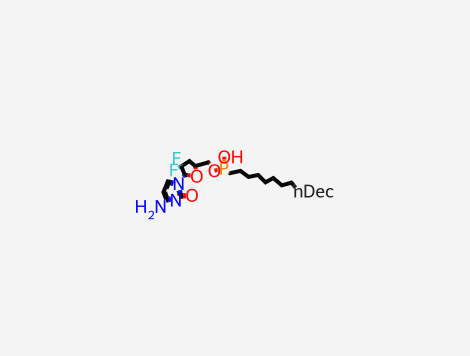 CCCCCCCCCCCCCCCCCCP(O)OCC1CC(F)(F)C(n2ccc(N)nc2=O)O1